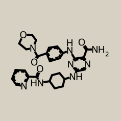 NC(=O)c1ncc(NC2CCC(NC(=O)c3ccccn3)CC2)nc1Nc1ccc(C(=O)N2CCOCC2)cc1